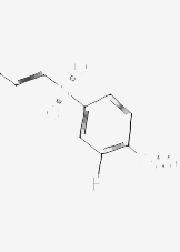 C/C=C/S(=O)(=O)c1ccc(OC)c(F)c1